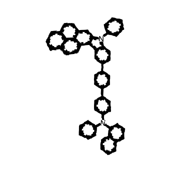 c1ccc(N(c2ccc(-c3ccc(-c4ccc5c(c4)c4c6ccc7cccc8ccc(cc4n5-c4ccccc4)c6c87)cc3)cc2)c2cccc3ccccc23)cc1